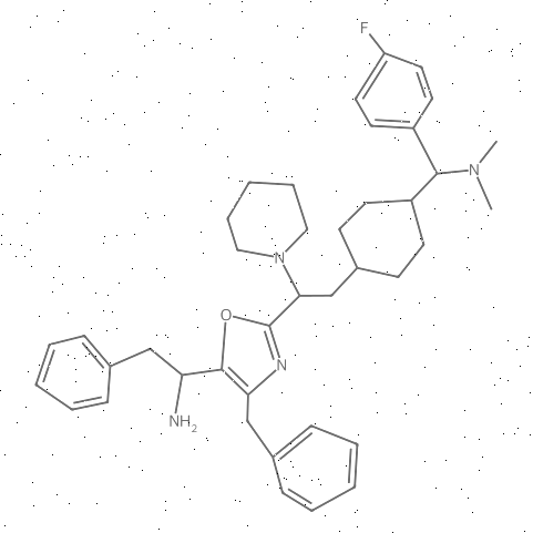 CN(C)C(c1ccc(F)cc1)C1CCC(CC(c2nc(Cc3ccccc3)c(C(N)Cc3ccccc3)o2)N2CCCCC2)CC1